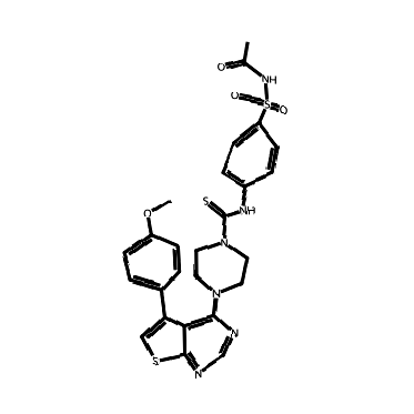 COc1ccc(-c2csc3ncnc(N4CCN(C(=S)Nc5ccc(S(=O)(=O)NC(C)=O)cc5)CC4)c23)cc1